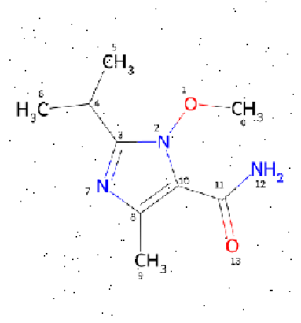 COn1c(C(C)C)nc(C)c1C(N)=O